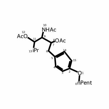 CCCCCOc1ccc(CC(OC(C)=O)C(NC(C)=O)C(OC(C)=O)C(C)C)cc1